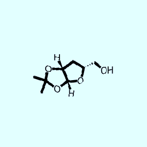 CC1(C)O[C@H]2O[C@@H](CO)C[C@H]2O1